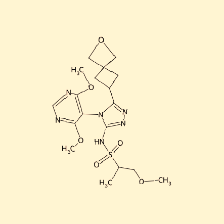 COCC(C)S(=O)(=O)Nc1nnc(C2CC3(COC3)C2)n1-c1c(OC)ncnc1OC